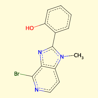 Cn1c(-c2ccccc2O)nc2c(Br)nccc21